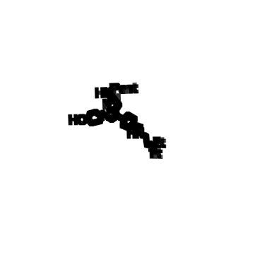 CCC[C@H](C)Nc1ncc2c(-c3ccc(CNCCN(CC)CC)cc3)cn([C@H]3CC[C@H](O)CC3)c2n1